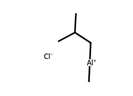 [CH3][Al+][CH2]C(C)C.[Cl-]